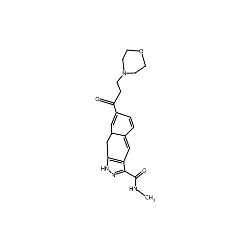 CNC(=O)c1n[nH]c2c1C=C1C=CC(C(=O)CCN3CCOCC3)=CC1C2